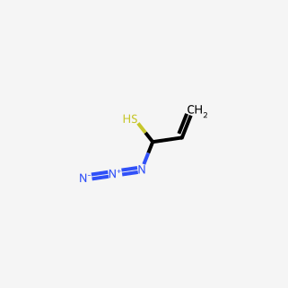 C=CC(S)N=[N+]=[N-]